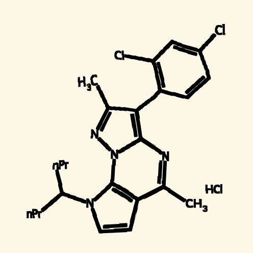 CCCC(CCC)n1ccc2c(C)nc3c(-c4ccc(Cl)cc4Cl)c(C)nn3c21.Cl